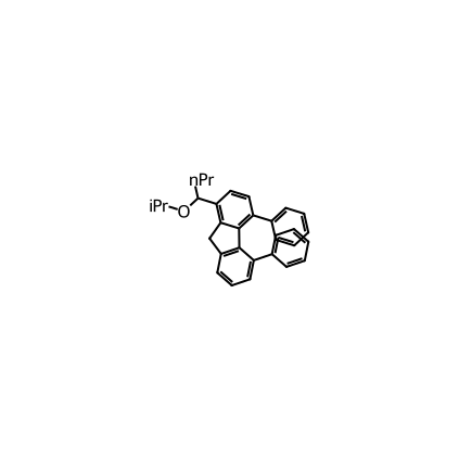 CCCC(OC(C)C)c1ccc(-c2ccccc2)c2c1Cc1cccc(-c3ccccc3)c1-2